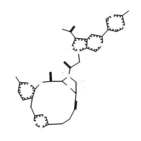 CC(=O)c1nn(CC(=O)N2[C@H](C)[C@H]3C=CCCc4nnc(o4)Cc4ccc(Br)nc4NC(=O)[C@@H]2C3)c2cnc(-c3cnc(C)nc3)cc12